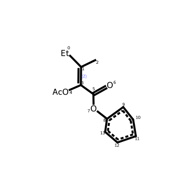 CC/C(C)=C(\OC(C)=O)C(=O)Oc1ccccc1